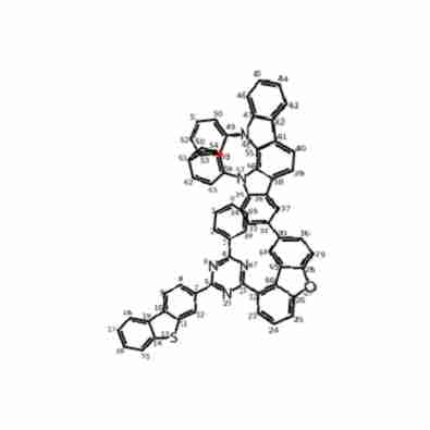 c1ccc(-c2nc(-c3ccc4c(c3)sc3ccccc34)nc(-c3cccc4oc5ccc(-c6ccc7c(c6)c6ccc8c9ccccc9n(-c9ccccc9)c8c6n7-c6ccccc6)cc5c34)n2)cc1